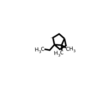 CCC12[CH]CC(CC1)C2(C)C